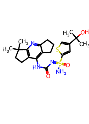 CC(C)(O)c1csc([S@](N)(=O)=NC(=O)Nc2c3c(nc4c2CCC4(C)C)CCC3)c1